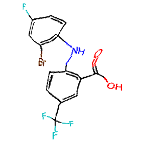 O=C(O)c1cc(C(F)(F)F)ccc1Nc1ccc(F)cc1Br